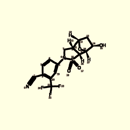 N#Cc1ccc(N2C[C@H]3[C@H]([C@@H]4O[C@H]3C[C@H]4O)S2(=O)=O)cc1C(F)(F)F